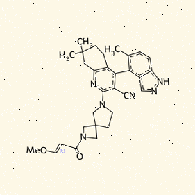 CO/C=C/C(=O)N1CC2(CCN(c3nc4c(c(-c5c(C)ccc6[nH]ncc56)c3C#N)CCC(C)(C)C4)C2)C1